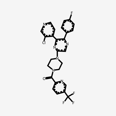 O=C(c1ccc(C(F)(F)F)cn1)N1CCN(c2cnc(-c3ccc(F)cc3)c(-c3ccncc3Cl)n2)CC1